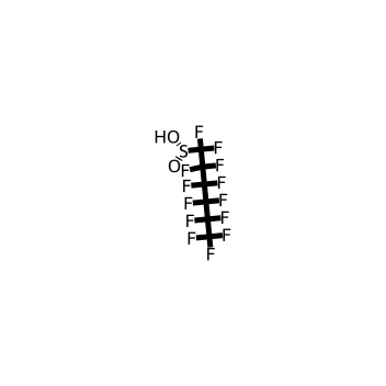 O=S(O)C(F)(F)C(F)(F)C(F)(F)C(F)(F)C(F)(F)C(F)(F)F